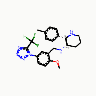 COc1ccc(-n2nnnc2C(F)(F)F)cc1CN[C@H]1CCCN[C@H]1c1ccc(C)cc1